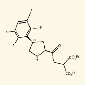 CCOC(=O)C(CC(=O)C1C[C@H](c2c(F)c(F)cc(F)c2F)CN1)C(=O)OCC